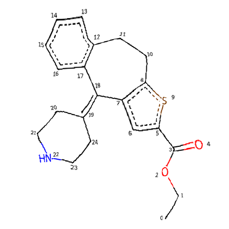 CCOC(=O)c1cc2c(s1)CCc1ccccc1C2=C1CCNCC1